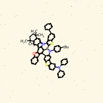 CC(C)(C)c1ccc(N2B3c4sc5ccc(-c6ccccc6)cc5c4-n4c5cc6c(cc5c5c7oc8ccccc8c7c(c3c54)-c3cc4sc5ccc(N(c7ccccc7)c7ccccc7)cc5c4cc32)C(C)(C)CCC6(C)C)cc1